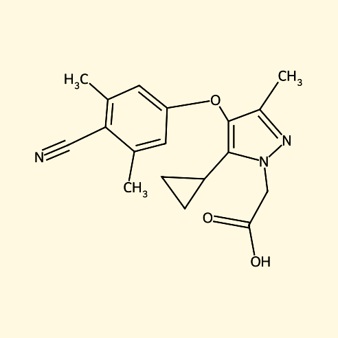 Cc1cc(Oc2c(C)nn(CC(=O)O)c2C2CC2)cc(C)c1C#N